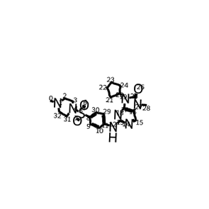 CN1CCN(S(=O)(=O)c2ccc(Nc3ncc4c(n3)n(C3CCCC3)c(=O)n4C)cc2)CC1